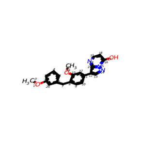 COc1cccc(Cc2ccc(-c3cnn4c(O)ccnc34)cc2OC)c1